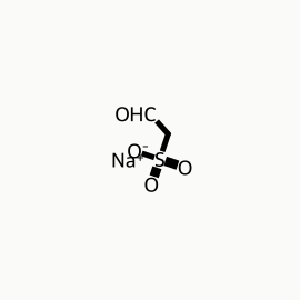 O=CCS(=O)(=O)[O-].[Na+]